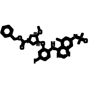 CO[C@@H]1CN(C(=O)OCc2ccccc2)C[C@H]1Oc1cc(F)ccc1Nc1ncnc2cc(N=S(C)(C)=O)cc(C)c12